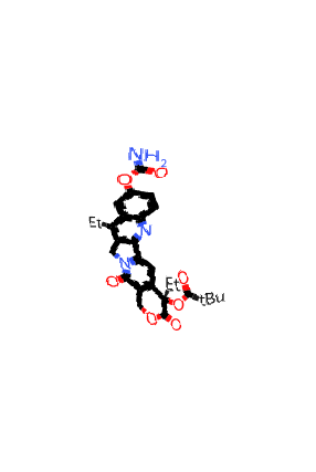 CCc1c2c(nc3ccc(OC(N)=O)cc13)-c1cc3c(c(=O)n1C2)COC(=O)[C@@]3(CC)OC(=O)C(C)(C)C